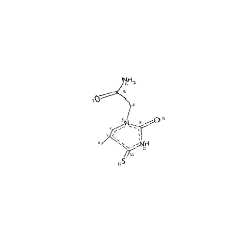 Cc1cn(CC(N)=O)c(=O)[nH]c1=S